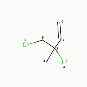 C=CC(C)(Cl)CCl